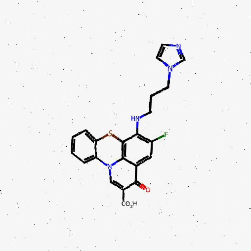 O=C(O)c1cn2c3c(c(NCCCn4ccnc4)c(F)cc3c1=O)Sc1ccccc1-2